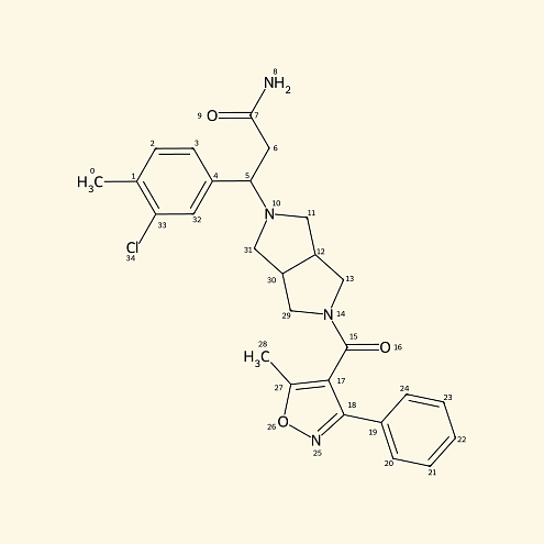 Cc1ccc(C(CC(N)=O)N2CC3CN(C(=O)c4c(-c5ccccc5)noc4C)CC3C2)cc1Cl